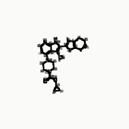 N#Cc1c(-c2nc3c(s2)COCC3)[nH]c2nccc(N3CCN(C(=O)OC4CC4)CC3)c12